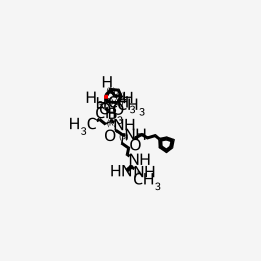 CNC(=N)NCCC[C@H](NC(=O)CCCc1ccccc1)C(=O)N[C@@H](CC(C)C)B1O[C@@H]2C[C@@H]3C[C@@H](C3(C)C)[C@]2(C)O1